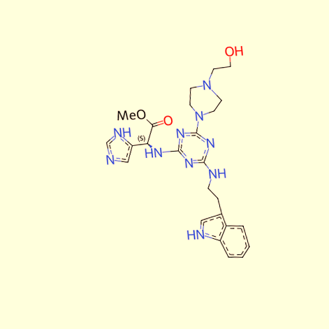 COC(=O)[C@@H](Nc1nc(NCCc2c[nH]c3ccccc23)nc(N2CCN(CCO)CC2)n1)c1cnc[nH]1